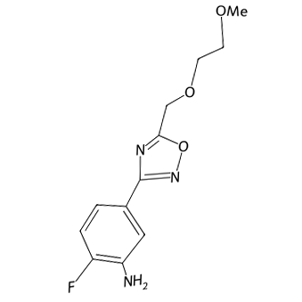 COCCOCc1nc(-c2ccc(F)c(N)c2)no1